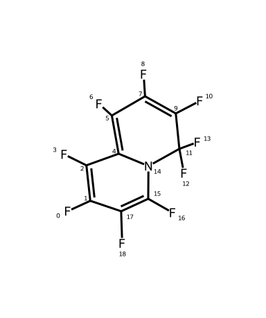 FC1=C(F)C2=C(F)C(F)=C(F)C(F)(F)N2C(F)=C1F